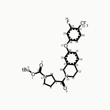 CC(C)(C)OC(=O)N1CCC(C(=O)N2CCc3ccc(Oc4ccc(C(F)(F)F)c(F)c4)cc3C2)C1